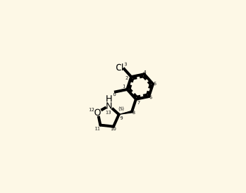 Cc1c(Cl)cccc1C[C@H]1CCON1